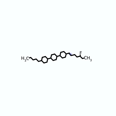 CCCCCC1CCC(C2CCC(C3CCC(/C=C/CCC(F)CC)CC3)CC2)CC1